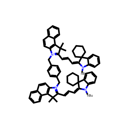 CCCCN1/C(=C/C=C/C2=[N+](Cc3ccc(C[N+]4=C(/C=C/C=C5/N(CCCC)c6ccccc6C56CCCCC6)C(C)(C)c5c4ccc4ccccc54)cc3)c3ccc4ccccc4c3C2(C)C)C2(CCCCC2)c2ccccc21